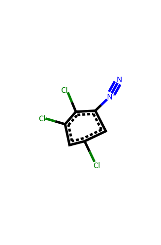 N#[N+]c1cc(Cl)cc(Cl)c1Cl